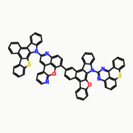 c1ccc2c(c1)Sc1cccc3nc(-n4c5ccccc5c5c6cc(-c7ccc8nc(-n9c%10ccccc%10c%10c%11ccccc%11c%11c%12ccccc%12sc%11c%109)cc9c8c7Oc7ncccc7-9)ccc6c6c7ccccc7oc6c54)nc-2c13